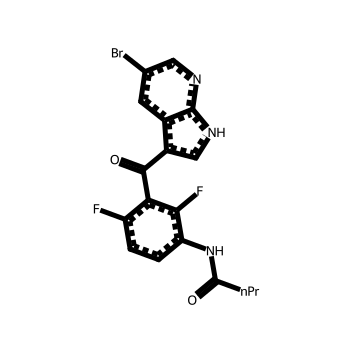 CCCC(=O)Nc1ccc(F)c(C(=O)c2c[nH]c3ncc(Br)cc23)c1F